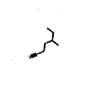 CCC(C)C[CH]C#N